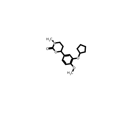 COc1ccc(C2CCN(C)C(=O)O2)cc1OC1CCCC1